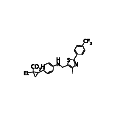 CCC1(C(=O)O)CC1c1ccc(NCc2sc(-c3ccc(C(F)(F)F)cc3)nc2C)cc1